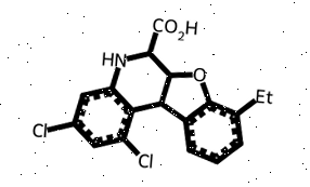 CCc1cccc2c1OC1C(C(=O)O)Nc3cc(Cl)cc(Cl)c3C21